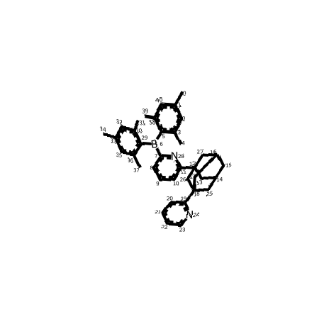 Cc1cc(C)c(B(c2cccc(C34CC5CC(CC(c6ccccn6)(C5)C3)C4)n2)c2c(C)cc(C)cc2C)c(C)c1